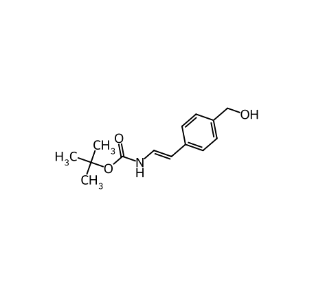 CC(C)(C)OC(=O)NC=Cc1ccc(CO)cc1